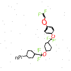 CCCC1CCC(C(F)(F)OC2CCC(C(F)(F)Oc3ccc(OC=C(F)F)cc3)CC2)CC1